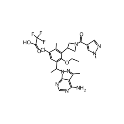 CCOc1c(C(C)n2nc(C)c3c(N)ncnc32)cc(Cl)c(C)c1C1CN(C(=O)c2cnn(C)c2)C1.O=C(O)C(F)(F)F